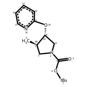 C[C@@H]1CN(C(=O)OC(C)(C)C)C[C@H]1Oc1ccccn1